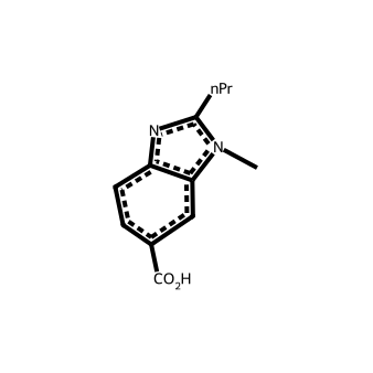 CCCc1nc2ccc(C(=O)O)cc2n1C